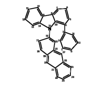 c1ccc(-c2cccc3c4ccccc4n(-c4ccc5cc6ccccc6cc5c4)c23)cc1